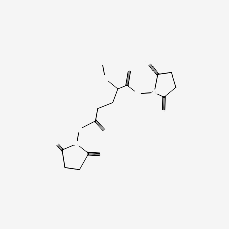 CNC(CCC(=O)ON1C(=O)CCC1=O)C(=O)ON1C(=O)CCC1=O